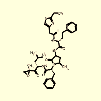 CC(C)C[C@H](NC(=O)[C@H](Cc1ccccc1)N1C(=O)[C@@H](NC(=O)[C@H](CCc2ccccc2)NC(=O)Cc2csc(CO)n2)CC1C)C(=O)[C@@]1(C)CO1